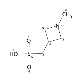 CN1CC(CS(=O)(=O)O)C1